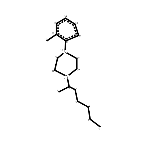 CCCCCC(C)N1CCN(c2ccccc2C)CC1